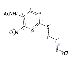 CC(=O)Nc1ccc(SC/C=C/Cl)cc1[N+](=O)[O-]